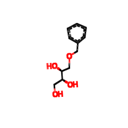 OC[C@H](O)[C@@H](O)COCc1ccccc1